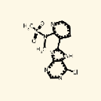 CN(c1ncccc1-c1nc2ncnc(Cl)c2[nH]1)S(C)(=O)=O